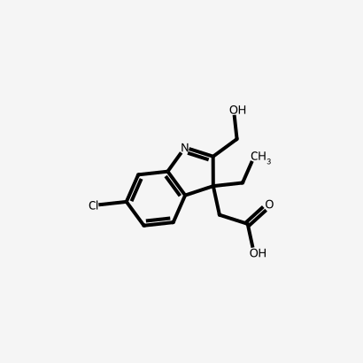 CCC1(CC(=O)O)C(CO)=Nc2cc(Cl)ccc21